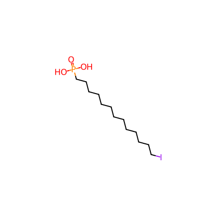 O=P(O)(O)CCCCCCCCCCCCCI